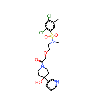 Cc1cc(S(=O)(=O)N(C)CCOCC(=O)N2CCC(O)(c3cccnc3)CC2)c(Cl)cc1Cl